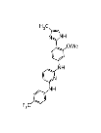 COc1cc(Nc2cccc(Nc3ccc(C(F)(F)F)cc3)n2)ccc1-c1nc(C)c[nH]1